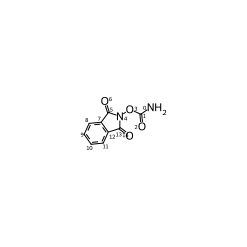 NC(=O)ON1C(=O)c2ccccc2C1=O